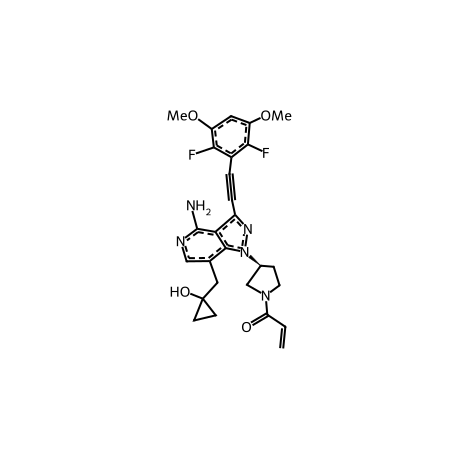 C=CC(=O)N1CC[C@H](n2nc(C#Cc3c(F)c(OC)cc(OC)c3F)c3c(N)ncc(CC4(O)CC4)c32)C1